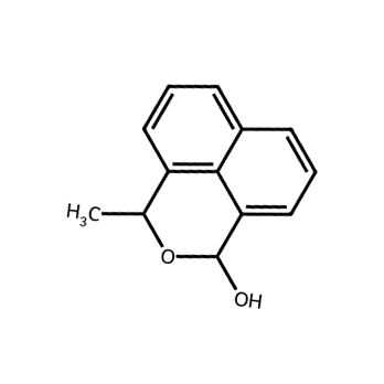 CC1OC(O)c2cccc3cccc1c23